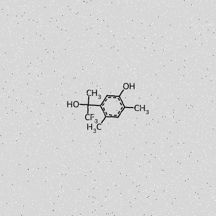 Cc1cc(C)c(C(C)(O)C(F)(F)F)cc1O